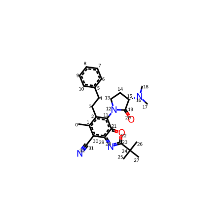 Cc1c(CCc2ccccc2)c(N2CC[C@H](N(C)C)C2=O)c2oc(C(C)(C)C)nc2c1C#N